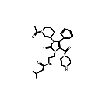 CC(=O)N1CCCC(n2c(-c3ccccc3)c(C(=O)N3CCNCC3)n(CCNC(=O)CC(C)C)c2=O)C1